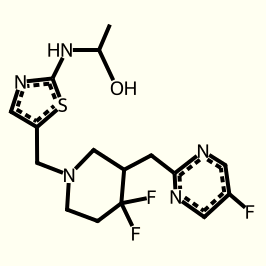 CC(O)Nc1ncc(CN2CCC(F)(F)C(Cc3ncc(F)cn3)C2)s1